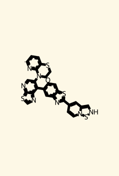 O=C1CSc2cc[c]nc2N1c1cnc2scnc2c1-c1ccc2sc(C3=CC4=CNSN4C=C3)nc2c1